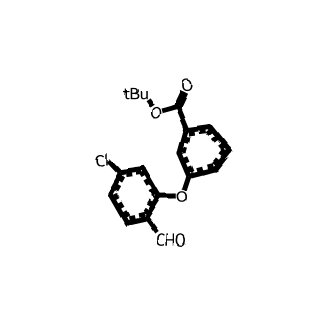 CC(C)(C)OC(=O)c1cccc(Oc2cc(Cl)ccc2C=O)c1